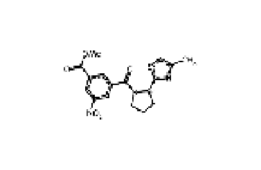 COC(=O)c1cc(C(=O)N2CCC[C@@H]2c2nc(C)cs2)cc([N+](=O)[O-])c1